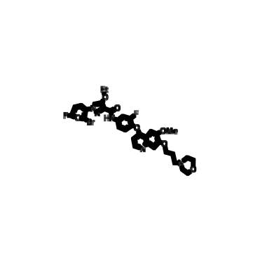 CCOc1cn(-c2ccc(F)cc2Br)nc1C(=O)Nc1ccc(Oc2ccnc3cc(OCCCN4CCOCC4)c(OC)cc23)c(F)c1